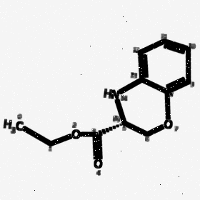 CCOC(=O)[C@H]1COc2ccccc2N1